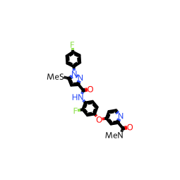 CNC(=O)c1cc(Oc2ccc(NC(=O)c3cc(SC)n(-c4ccc(F)cc4)n3)c(F)c2)ccn1